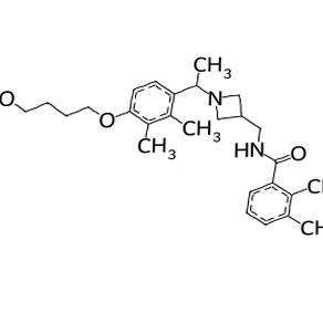 Cc1cccc(C(=O)NCC2CN(C(C)c3ccc(OCCCCO)c(C)c3C)C2)c1C